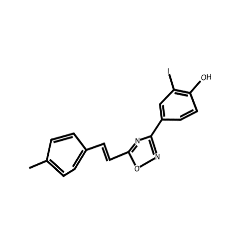 Cc1ccc(/C=C/c2nc(-c3ccc(O)c(I)c3)no2)cc1